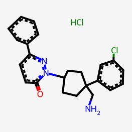 Cl.NCC1(c2cccc(Cl)c2)CCC(n2nc(-c3ccccc3)ccc2=O)CC1